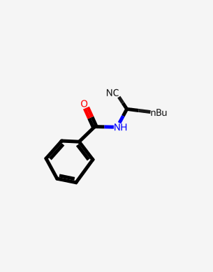 CCCCC(C#N)NC(=O)c1ccccc1